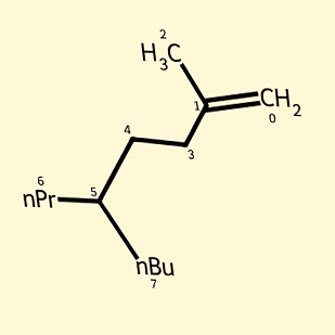 C=C(C)CCC(CCC)CCCC